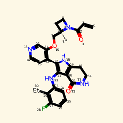 C=CC(=O)N1CC[C@]1(C)COc1cnccc1-c1[nH]c2c(c1Nc1cccc(F)c1CC)C(=O)NCC2